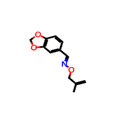 C=C(C)CON=Cc1ccc2c(c1)OCO2